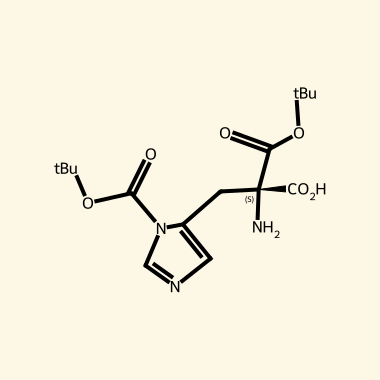 CC(C)(C)OC(=O)n1cncc1C[C@](N)(C(=O)O)C(=O)OC(C)(C)C